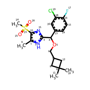 Cc1[nH]c(C(OCC2CC(C)(C)C2)c2ccc(F)c(Cl)c2)nc1S(C)(=O)=O